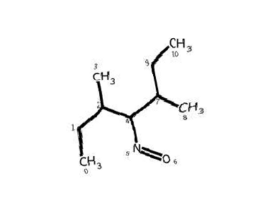 CCC(C)C(N=O)C(C)CC